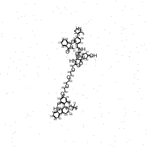 Cc1ncsc1-c1ccc([C@@H](CN2C(=O)c3ccccc3C2=O)NC(=O)[C@@H]2C[C@@H](O)CN2C(=O)[C@@H](NC(=O)COCCOCCOCCOc2cc(F)c([C@@H]3c4[nH]c5ccccc5c4C[C@@H](C)N3CC(C)(C)F)c(F)c2)C(C)(C)C)cc1